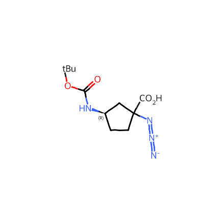 CC(C)(C)OC(=O)N[C@@H]1CCC(N=[N+]=[N-])(C(=O)O)C1